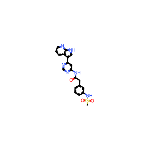 CS(=O)(=O)Nc1cccc(CC(=O)Nc2cc(-c3c[nH]c4ncccc34)ncn2)c1